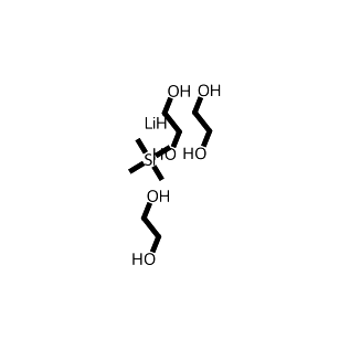 C[Si](C)(C)C.OCCO.OCCO.OCCO.[LiH]